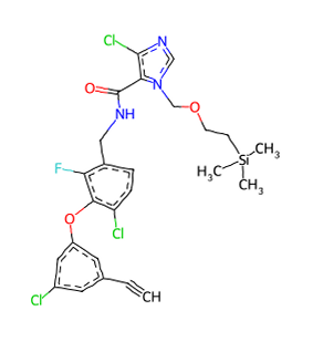 C#Cc1cc(Cl)cc(Oc2c(Cl)ccc(CNC(=O)c3c(Cl)ncn3COCC[Si](C)(C)C)c2F)c1